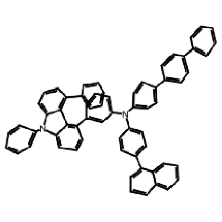 c1ccc(-c2ccc(-c3ccc(N(c4ccc(-c5cccc6ccccc56)cc4)c4cccc(-c5cccc6c5c5c(-c7ccccc7)cccc5n6-c5ccccc5)c4)cc3)cc2)cc1